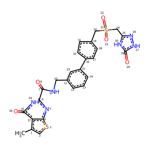 Cc1csc2nc(C(=O)NCc3cccc(-c4ccc(CS(=O)(=O)Cc5n[nH]c(=O)[nH]5)cc4)c3)[nH]c(=O)c12